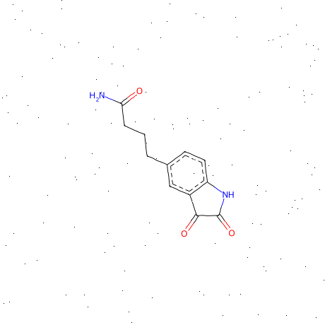 NC(=O)CCCc1ccc2c(c1)C(=O)C(=O)N2